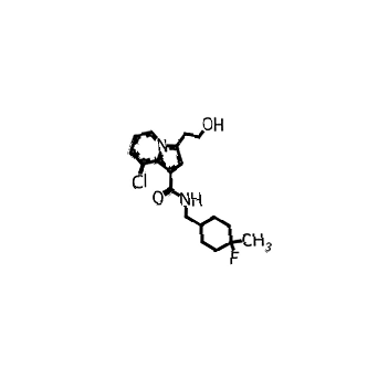 CC1(F)CCC(CNC(=O)c2cc(CCO)n3cccc(Cl)c23)CC1